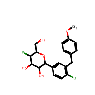 OCC1OC(c2ccc(Cl)c(Cc3ccc(OC(F)(F)F)cc3)c2)C(O)C(O)C1F